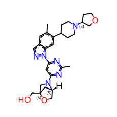 Cc1nc(N2C[C@]3(CO)C[C@H]2CO3)cc(-n2ncc3cc(C)c(C4CCN([C@H]5CCOC5)CC4)cc32)n1